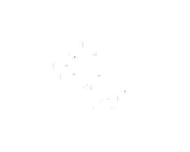 Cn1c(C(=O)O)c(C(C)(C)C)c2ccc(Cl)c(C(C)(C)C)c21